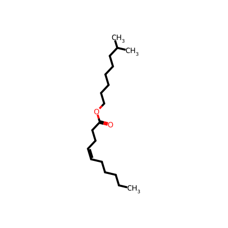 CCCCC/C=C\CCC(=O)OCCCCCCC(C)C